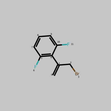 C=C(CBr)c1c(F)cccc1F